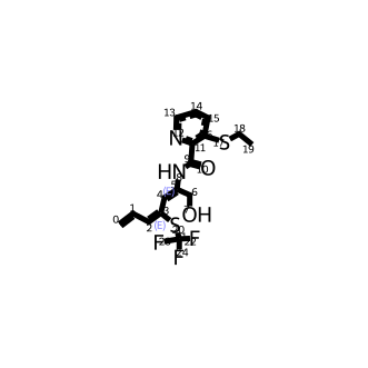 C=C/C=C(\C=C(/CO)NC(=O)c1ncccc1SCC)SC(F)(F)F